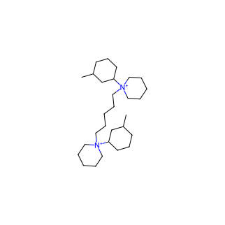 CC1CCCC([N+]2(CCCCC[N+]3(C4CCCC(C)C4)CCCCC3)CCCCC2)C1